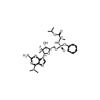 CC(C)OC(=O)[C@@H](C)NP(=O)(OC[C@H]1O[C@@H](n2cnc3c(N(C)C)nc(N)nc32)[C@](C)(F)[C@@H]1O)Oc1ccccc1